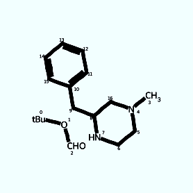 CC(C)(C)OC=O.CN1CCNC(Cc2ccccc2)C1